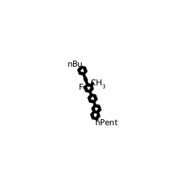 CCCCCc1ccc2cc(-c3ccc(-c4cc(C)c(C#Cc5ccc(CCCC)cc5)c(F)c4)cc3)ccc2c1